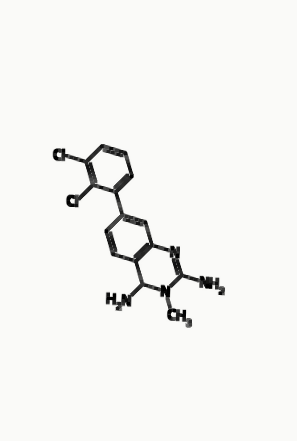 CN1C(N)=Nc2cc(-c3cccc(Cl)c3Cl)ccc2C1N